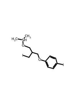 C[SiH](C)OCC(CI)COc1ccc(I)cc1